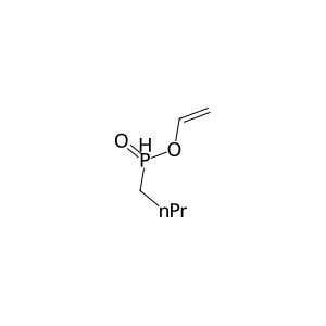 C=CO[PH](=O)CCCC